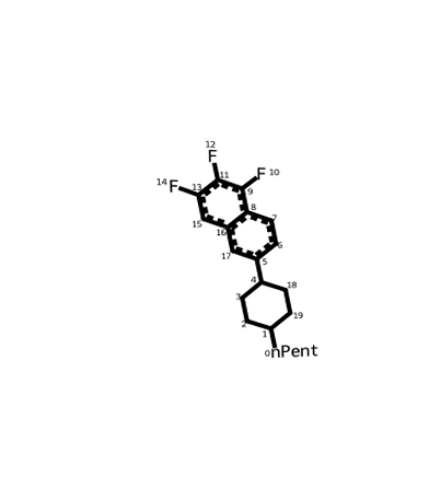 CCCCCC1CCC(c2ccc3c(F)c(F)c(F)cc3c2)CC1